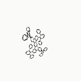 c1ccc(-c2cccc(-c3ccccc3)c2-c2ccc3c(c2)c2cc4c5ccc(N(c6ccccc6)c6ccccc6)cc5c5ccc(-c6c(-c7ccccc7)cccc6-c6ccccc6)cc5c4cc2c2ccc(N(c4ccccc4)c4ccccc4)cc32)cc1